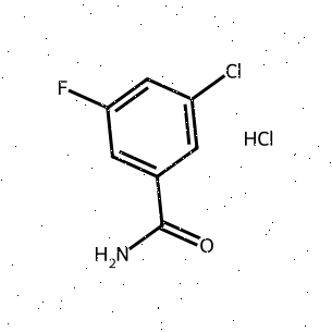 Cl.NC(=O)c1cc(F)cc(Cl)c1